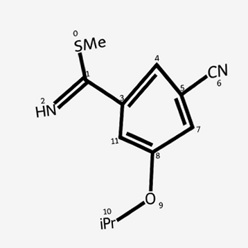 CSC(=N)c1cc(C#N)cc(OC(C)C)c1